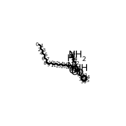 CCCCCCCC/C=C\CCCCCCCCNC(=O)[C@@H](CCCCN)NC(=O)OCc1ccccc1